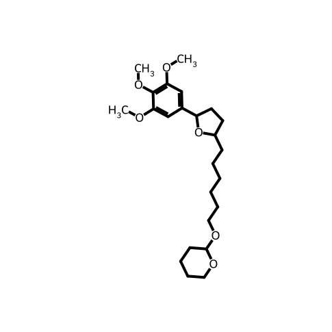 COc1cc(C2CCC(CCCCCCOC3CCCCO3)O2)cc(OC)c1OC